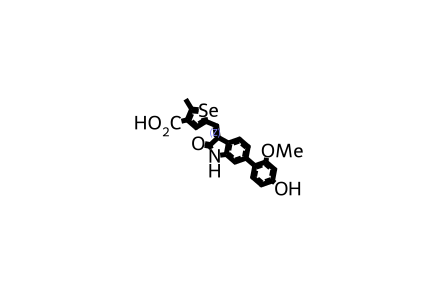 COc1cc(O)ccc1-c1ccc2c(c1)NC(=O)/C2=C\c1cc(C(=O)O)c(C)[se]1